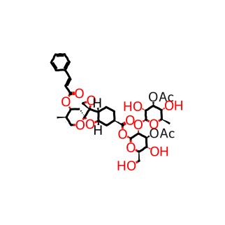 CC(=O)O[C@@H]1[C@@H](O)[C@H](O[C@H]2[C@H](OC(=O)[C@@H]3CC[C@@H]4[C@H](C3)O[C@]3(C[C@H](OC(=O)/C=C/c5ccccc5)[C@H](C)CO3)[C@@]43CO3)O[C@H](CO)[C@@H](O)[C@@H]2OC(C)=O)O[C@H](C)[C@H]1O